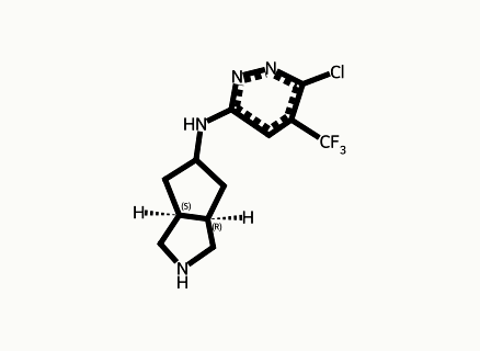 FC(F)(F)c1cc(NC2C[C@H]3CNC[C@H]3C2)nnc1Cl